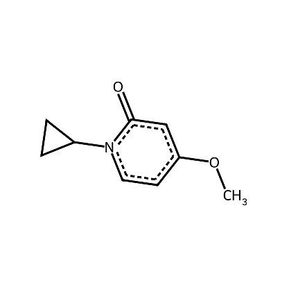 COc1ccn(C2CC2)c(=O)c1